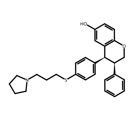 Oc1ccc2c(c1)[C@H](c1ccc(SCCCN3CCCC3)cc1)[C@H](c1ccccc1)CO2